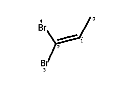 C[C]=C(Br)Br